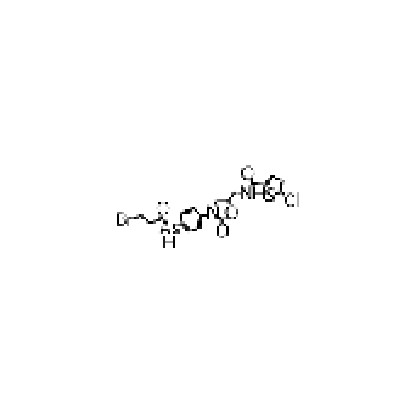 O=C(CCBr)[AsH]c1ccc(N2CC(CNC(=O)c3ccc(Cl)s3)OC2=O)cc1